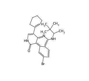 CC(Nc1nc2c(C3=CCCCC3)c[nH]c(=O)c2c2cc(Br)ccc12)C(C)(C)C